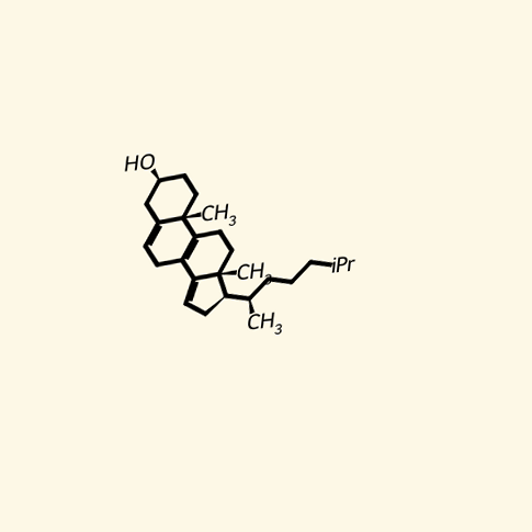 CC(C)CCC[C@@H](C)[C@H]1CC=C2C3=C(CC[C@@]21C)[C@@]1(C)CC[C@H](O)CC1=CC3